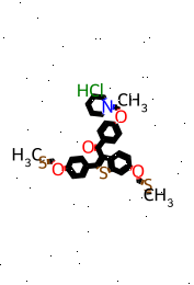 CSCOc1ccc(-c2sc3cc(OCSC)ccc3c2C(=O)c2ccc(OC(C)N3CCCCC3)cc2)cc1.Cl